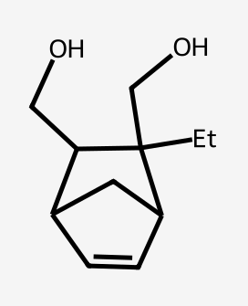 CCC1(CO)C2C=CC(C2)C1CO